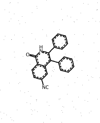 [C-]#[N+]c1ccc2c(=O)[nH]c(-c3ccccc3)c(-c3ccccc3)c2c1